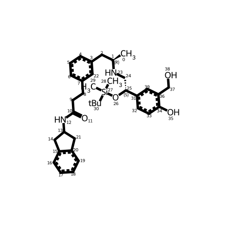 C[C@H](Cc1cccc(CCC(=O)NC2Cc3ccccc3C2)c1)NC[C@@H](O[Si](C)(C)C(C)(C)C)c1ccc(O)c(CO)c1